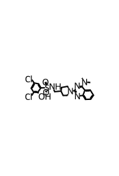 CN(C)c1nc(N2CCC(CNS(=O)(=O)c3cc(Cl)cc(Cl)c3O)CC2)nc2ccccc12